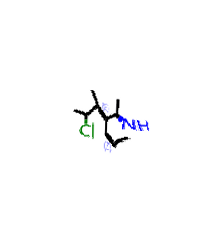 C/C=C\C(C(C)=N)=C(\C)C(C)Cl